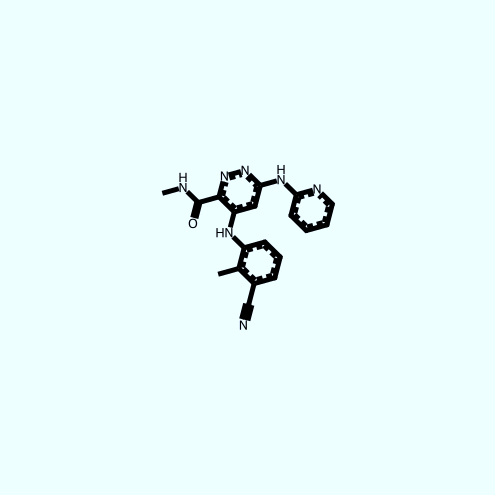 CNC(=O)c1nnc(Nc2ccccn2)cc1Nc1cccc(C#N)c1C